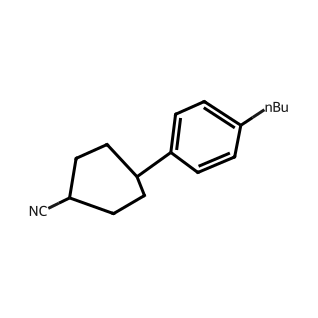 CCCCc1ccc(C2CCC(C#N)CC2)cc1